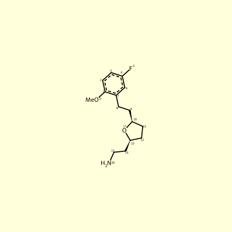 COc1ccc(F)cc1CC[C@H]1CC[C@@H](CCN)O1